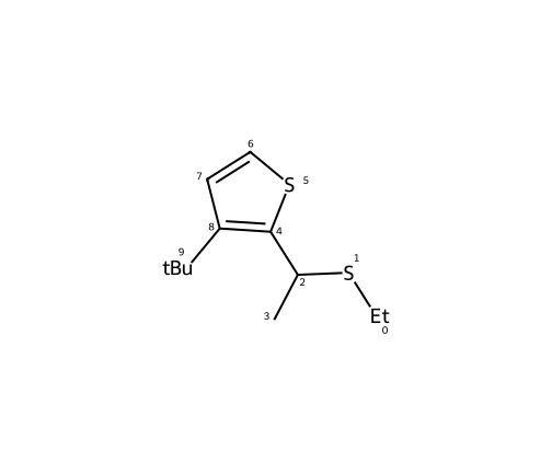 CCSC(C)c1sccc1C(C)(C)C